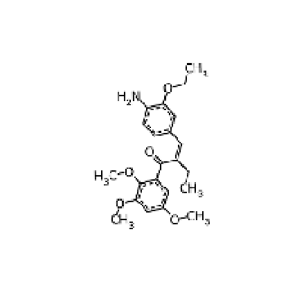 CCOc1cc(C=C(CC)C(=O)c2cc(OC)cc(OC)c2OC)ccc1N